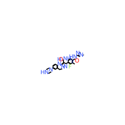 Cc1c(C(=O)Nc2cn(C)cn2)ccc(-c2nn3c(c2C(N)=O)Nc2ccc(N4CCNCC4)cc2CC3)c1F